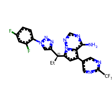 CC[C@@H](c1cn(-c2ccc(F)cc2F)nn1)c1cc(-c2cnc(C(F)(F)F)nc2)c2c(N)ncnn12